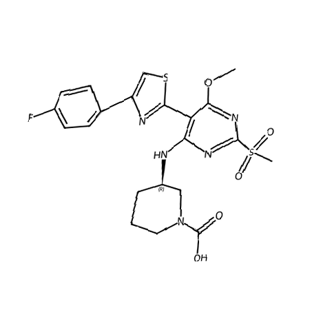 COc1nc(S(C)(=O)=O)nc(N[C@@H]2CCCN(C(=O)O)C2)c1-c1nc(-c2ccc(F)cc2)cs1